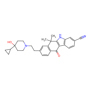 CC1(C)c2cc(CCN3CCC(O)(C4CC4)CC3)ccc2C(=O)c2c1[nH]c1cc(C#N)ccc21